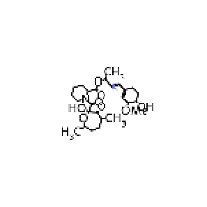 COC1C=C(/C=C/C(C)OC(=O)C2CCCCN2C(=O)C2(O)OC(C)CCC(C)C2=O)CCC1O